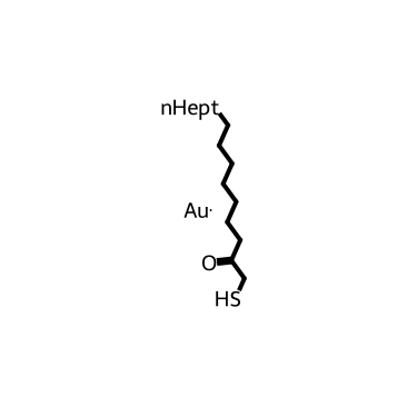 CCCCCCCCCCCCCCC(=O)CS.[Au]